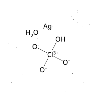 O.[Ag].[O-][Cl+3]([O-])([O-])O